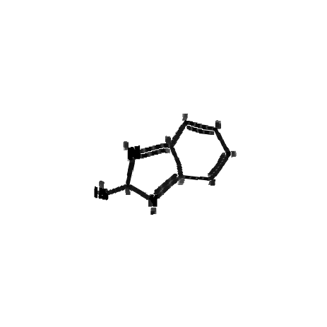 SC1N=c2ccccc2=N1